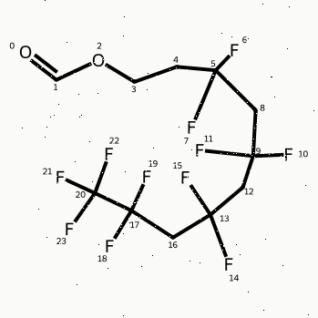 O=COCCC(F)(F)CC(F)(F)CC(F)(F)CC(F)(F)C(F)(F)F